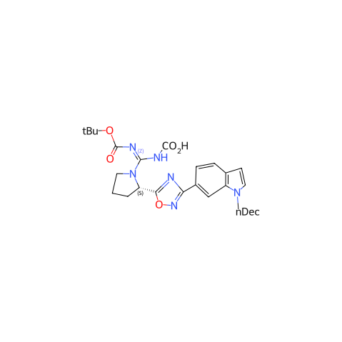 CCCCCCCCCCn1ccc2ccc(-c3noc([C@@H]4CCCN4/C(=N\C(=O)OC(C)(C)C)NC(=O)O)n3)cc21